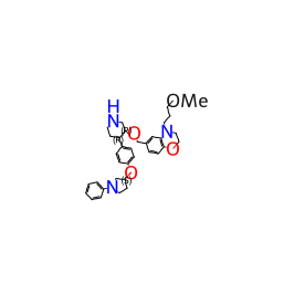 COCCCN1CCOc2ccc(CO[C@H]3CNCC[C@@H]3c3ccc(O[C@H]4CCN(c5ccccc5)C4)cc3)cc21